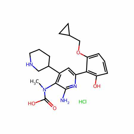 CN(C(=O)O)c1c(C2CCCNC2)cc(-c2c(O)cccc2OCC2CC2)nc1N.Cl